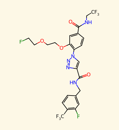 O=C(NCC(F)(F)F)c1ccc(-n2cc(C(=O)NCc3ccc(C(F)(F)F)c(F)c3)nn2)c(OCCOCCF)c1